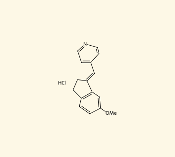 COc1ccc2c(c1)C(=Cc1ccncc1)CC2.Cl